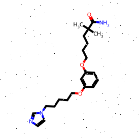 CC(C)(CCCCOc1cccc(OCCCCCn2ccnc2)c1)C(N)=O